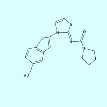 Cc1ccc2sc(-n3ccsc3=NC(=O)N3CCCC3)cc2c1